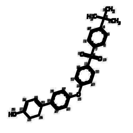 CC(C)(C)c1ccc(S(=O)(=O)c2ccc(Oc3ccc(C4=CC=C(O)CC4)cc3)cc2)cc1